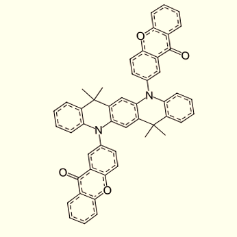 CC1(C)c2ccccc2N(c2ccc3oc4ccccc4c(=O)c3c2)c2cc3c(cc21)N(c1ccc2oc4ccccc4c(=O)c2c1)c1ccccc1C3(C)C